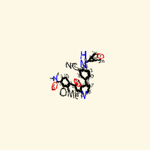 COc1cc(C(=O)N(C)C)ccc1-c1cc2nccc(-c3ccc(NC4C5COCC54)c(C#N)c3)c2o1